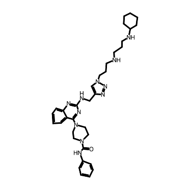 O=C(Nc1ccccc1)N1CCN(c2nc(NCc3cn(CCCNCCCNC4CCCCC4)nn3)nc3ccccc23)CC1